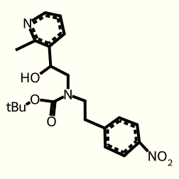 Cc1ncccc1C(O)CN(CCc1ccc([N+](=O)[O-])cc1)C(=O)OC(C)(C)C